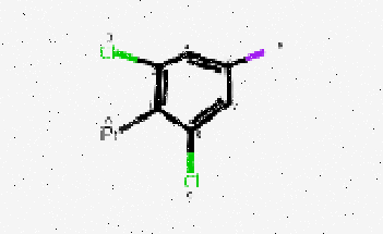 CC(C)c1c(Cl)cc(I)cc1Cl